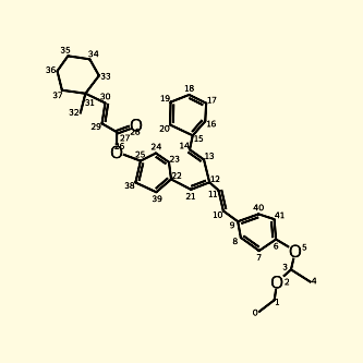 CCOC(C)Oc1ccc(C=CC(C=Cc2ccccc2)=Cc2ccc(OC(=O)C=CC3(C)CCCCC3)cc2)cc1